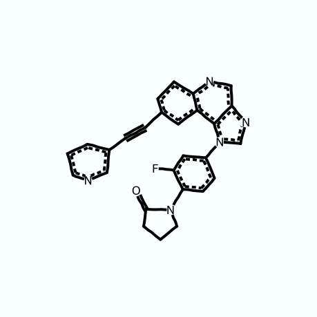 O=C1CCCN1c1ccc(-n2cnc3cnc4ccc(C#Cc5cccnc5)cc4c32)cc1F